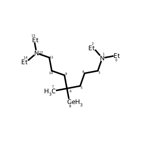 CCN(CC)CCC[C](C)([GeH3])CCCN(CC)CC